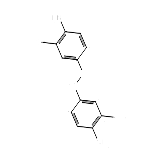 Nc1ccc(SSc2ccc(N)c(Cl)c2)cc1Cl